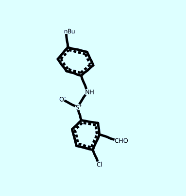 CCCCc1ccc(N[S+]([O-])c2ccc(Cl)c(C=O)c2)cc1